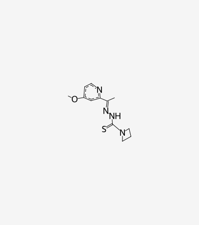 COc1ccnc(/C(C)=N/NC(=S)N2CCC2)c1